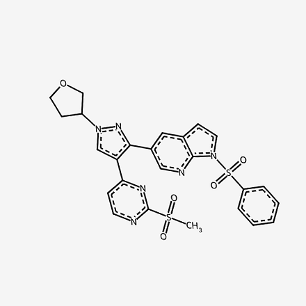 CS(=O)(=O)c1nccc(-c2cn(C3CCOC3)nc2-c2cnc3c(ccn3S(=O)(=O)c3ccccc3)c2)n1